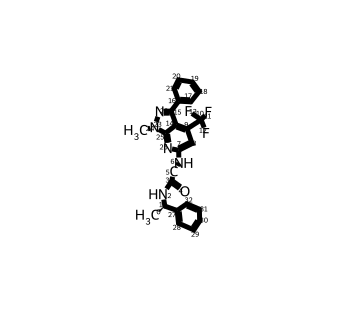 C[C@H](NC(=O)CNc1cc(C(F)(F)F)c2c(-c3ccccc3)nn(C)c2n1)c1ccccc1